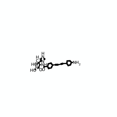 CC(O)(c1c[nH]cn1)[C@H](NC(=O)c1ccc(C#CC#Cc2ccc(N)cc2)cc1)C(=O)NO